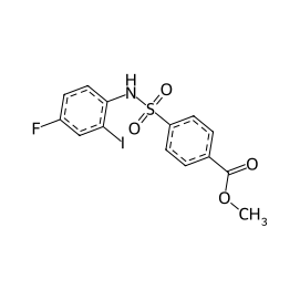 COC(=O)c1ccc(S(=O)(=O)Nc2ccc(F)cc2I)cc1